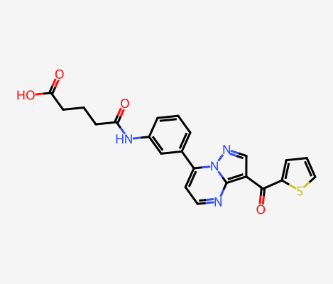 O=C(O)CCCC(=O)Nc1cccc(-c2ccnc3c(C(=O)c4cccs4)cnn23)c1